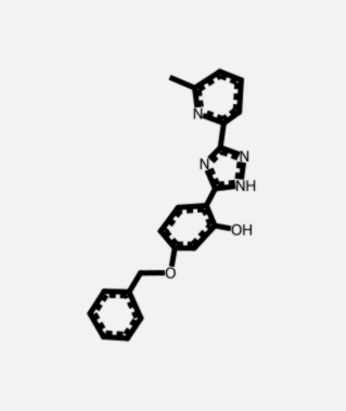 Cc1cccc(-c2n[nH]c(-c3ccc(OCc4ccccc4)cc3O)n2)n1